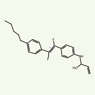 C=CC(O)Nc1ccc(/C(F)=C(\F)c2ccc(CCCCC)cc2)cc1